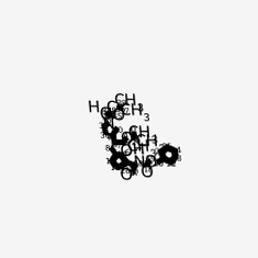 CC(C)(C)OC(=O)[C@@H](Cc1ccc2c(c1)[C@@H](NC(=O)OCc1ccccc1)CO2)[C@H]1CCN(C(=O)OC(C)(C)C)C1